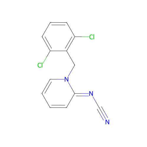 N#C/N=c1\ccccn1Cc1c(Cl)cccc1Cl